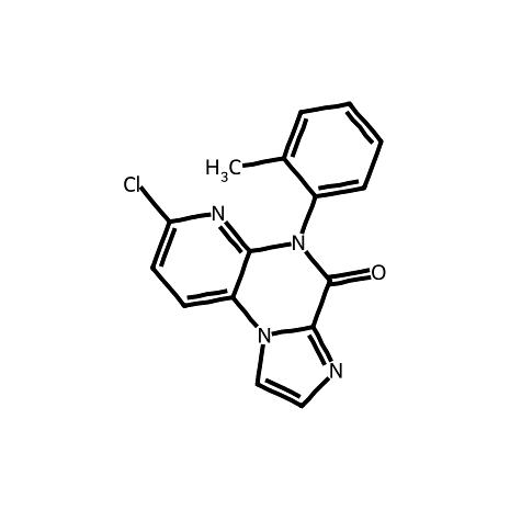 Cc1ccccc1-n1c(=O)c2nccn2c2ccc(Cl)nc21